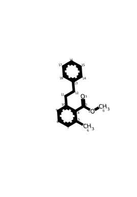 COC(=O)c1c(C)cccc1CCc1ccccc1